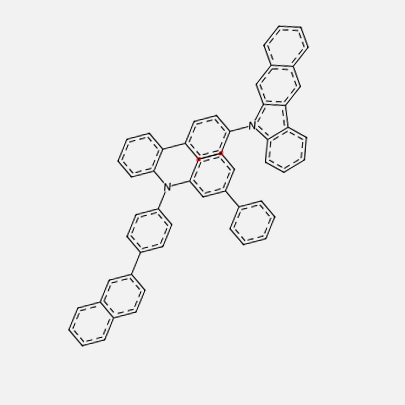 c1ccc(-c2cccc(N(c3ccc(-c4ccc5ccccc5c4)cc3)c3ccccc3-c3ccc(-n4c5ccccc5c5cc6ccccc6cc54)cc3)c2)cc1